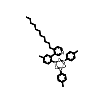 CCCCCCCCCCCc1ccncc1-c1cc(C)ccc1B1OB(c2ccc(C)cc2)OB(c2ccc(C)cc2)O1